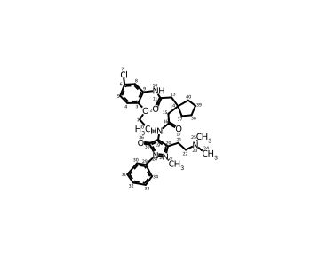 CCOc1ccc(Cl)cc1NC(=O)CC1(CC(=O)Nc2c(CCN(C)C)n(C)n(-c3ccccc3)c2=O)CCCC1